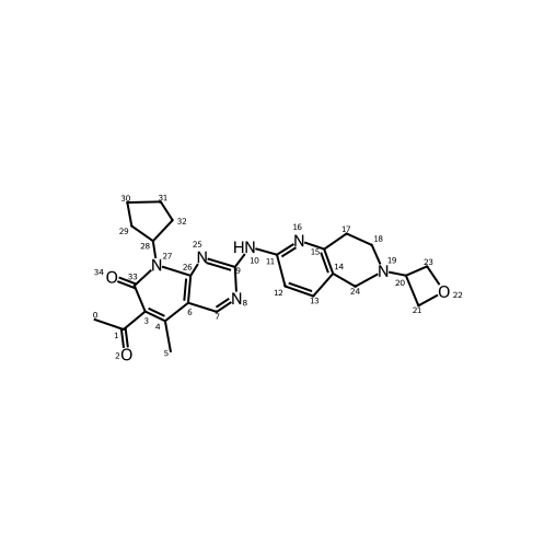 CC(=O)c1c(C)c2cnc(Nc3ccc4c(n3)CCN(C3COC3)C4)nc2n(C2CCCC2)c1=O